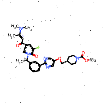 C/C(=C\C(=O)c1cc(F)c(=O)n([C@H](C)c2cccc(-c3ncc(OCC4CCN(C(=O)OC(C)(C)C)CC4)cn3)c2)c1)N(C)C